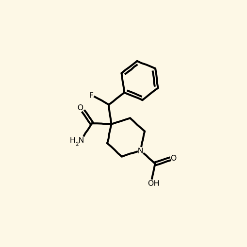 NC(=O)C1(C(F)c2ccccc2)CCN(C(=O)O)CC1